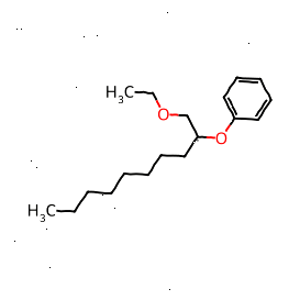 CCCCCCCC[C](COCC)Oc1ccccc1